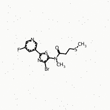 CSCCC(=O)N(C)c1sc(-c2cncc(F)c2)nc1Br